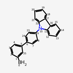 Bc1cccc(-c2ccc(-n3c4ccccc4c4ccccc43)cc2)c1